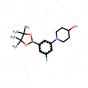 CC1(C)OB(c2cc(F)cc(N3CCC(O)CC3)c2)OC1(C)C